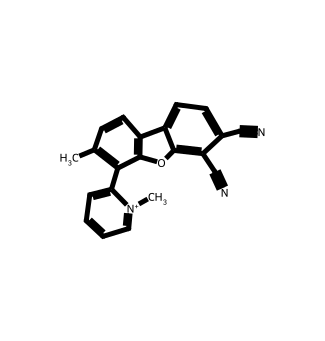 Cc1ccc2c(oc3c(C#N)c(C#N)ccc32)c1-c1cccc[n+]1C